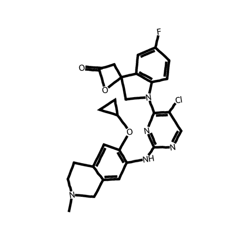 CN1CCc2cc(OC3CC3)c(Nc3ncc(Cl)c(N4CC5(CC(=O)O5)c5cc(F)ccc54)n3)cc2C1